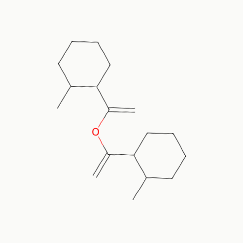 C=C(OC(=C)C1CCCCC1C)C1CCCCC1C